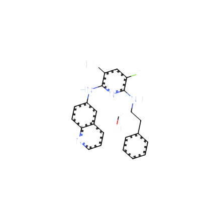 Cc1cc(F)c(N[C@@H](CO)Cc2ccccc2)nc1Nc1ccc2ncccc2c1